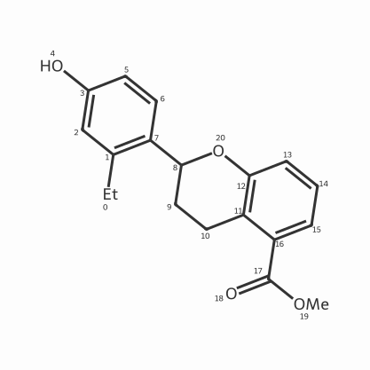 CCc1cc(O)ccc1C1CCc2c(cccc2C(=O)OC)O1